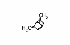 C=C1C=C2CC(=C)C1O2